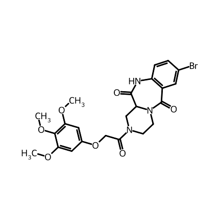 COc1cc(OCC(=O)N2CCN3C(=O)c4cc(Br)ccc4NC(=O)C3C2)cc(OC)c1OC